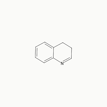 C1=Nc2ccccc2CC1